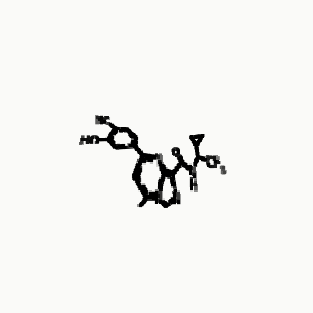 Cc1cc(-c2ccc(C#N)c(O)c2)nc2c(C(=O)NC(C3CC3)C(F)(F)F)ncn12